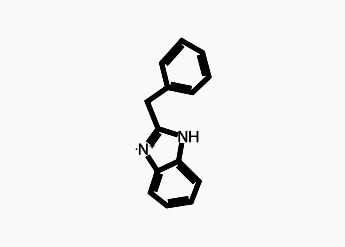 c1ccc(CC2=[N+]c3ccccc3N2)cc1